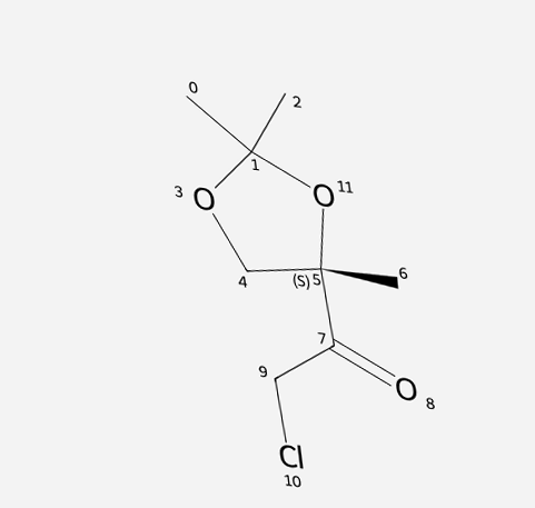 CC1(C)OC[C@@](C)(C(=O)CCl)O1